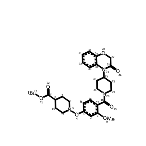 COc1cc(ON2CCC(C(=O)OC(C)(C)C)CC2)ccc1C(=O)N1CCC(N2C(=O)COc3ccccc32)CC1